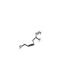 CCCC(F)C/C=C\CF